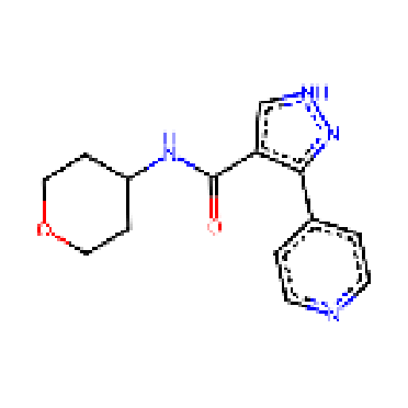 O=C(NC1CCOCC1)c1c[nH]nc1-c1ccncc1